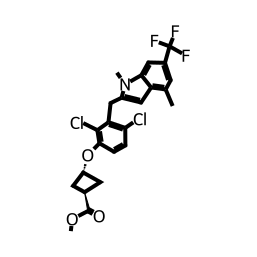 COC(=O)[C@H]1C[C@H](Oc2ccc(Cl)c(Cc3cc4c(C)cc(C(F)(F)F)cc4n3C)c2Cl)C1